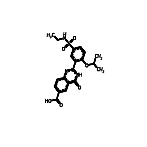 CCNS(=O)(=O)c1ccc(OC(C)C)c(-c2nc3ccc(C(=O)O)cc3c(=O)[nH]2)c1